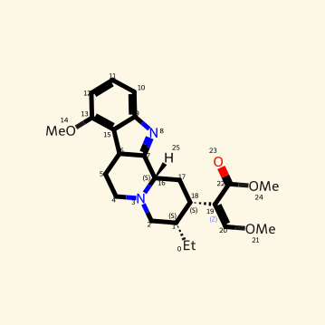 CC[C@@H]1CN2CCC3C(=Nc4cccc(OC)c43)[C@@H]2C[C@@H]1/C(=C/OC)C(=O)OC